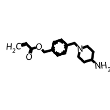 C=CC(=O)OCc1ccc(CN2CCC(N)CC2)cc1